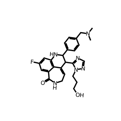 CN(C)Cc1ccc(C2Nc3cc(F)cc4c3C(=CCNC4=O)C2c2ncnn2CCCO)cc1